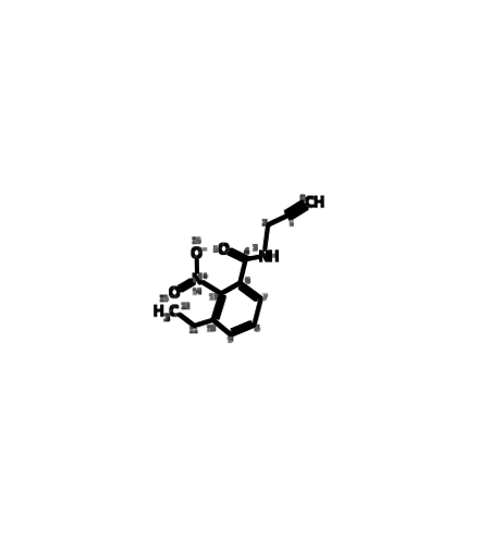 C#CCNC(=O)c1cccc(CC)c1[N+](=O)[O-]